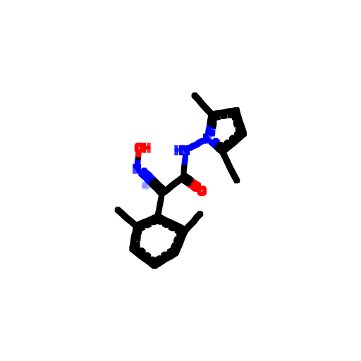 Cc1cccc(C)c1/C(=N/O)C(=O)Nn1c(C)ccc1C